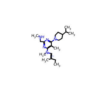 CC/C(C)=C/N(C)c1nc(CNC)nc(N2CCC(C(C)C)CC2)c1C